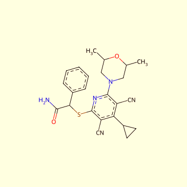 CC1CN(c2nc(SC(C(N)=O)c3ccccc3)c(C#N)c(C3CC3)c2C#N)CC(C)O1